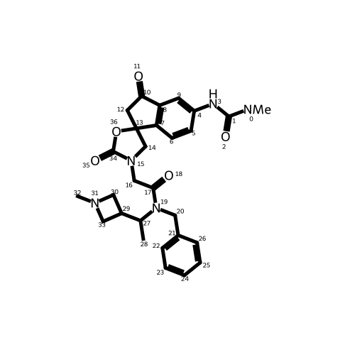 CNC(=O)Nc1ccc2c(c1)C(=O)CC21CN(CC(=O)N(Cc2ccccc2)C(C)C2CN(C)C2)C(=O)O1